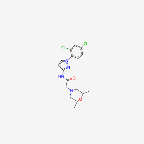 CC1CN(CC(=O)Nc2ccn(-c3ccc(Cl)cc3Cl)n2)CC(C)O1